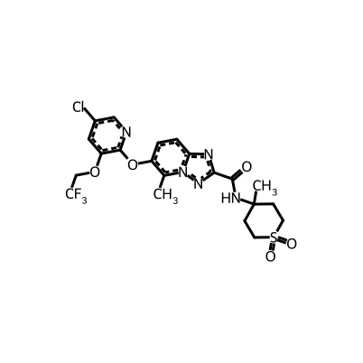 Cc1c(Oc2ncc(Cl)cc2OCC(F)(F)F)ccc2nc(C(=O)NC3(C)CCS(=O)(=O)CC3)nn12